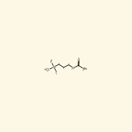 CC(C)(C)C(=O)OCCC[Si](C)(F)F